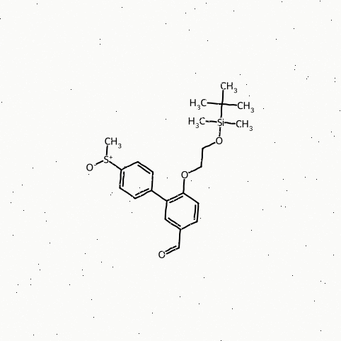 C[S+]([O-])c1ccc(-c2cc(C=O)ccc2OCCO[Si](C)(C)C(C)(C)C)cc1